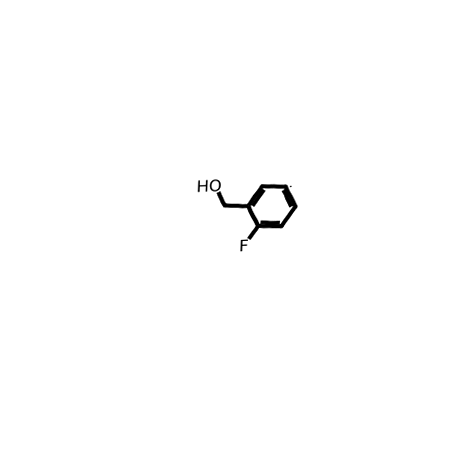 OCc1c[c]ccc1F